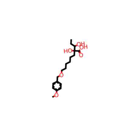 CCC(O)C(O)(CCCCCCOCc1ccc(OC)cc1)C(=O)O